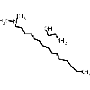 CCCCCCCCCCCCCCCCN(C)C.NCCO